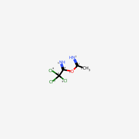 CC(=N)OC(=N)C(Cl)(Cl)Cl